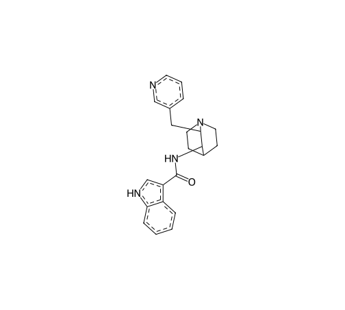 O=C(NC1C2CCN(CC2)C1Cc1cccnc1)c1c[nH]c2ccccc12